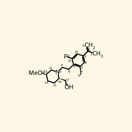 C=C(C)c1cc(F)c(CCN2C[C@H](OC)CC[C@@H]2CO)c(F)c1